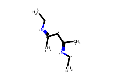 CCN=C(C)CC(C)=NCC